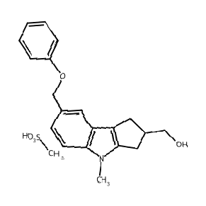 CS(=O)(=O)O.Cn1c2c(c3cc(COc4ccccc4)ccc31)CC(CO)C2